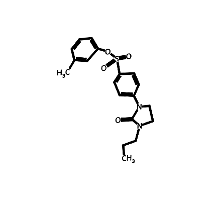 CCCN1CCN(c2ccc(S(=O)(=O)Oc3cccc(C)c3)cc2)C1=O